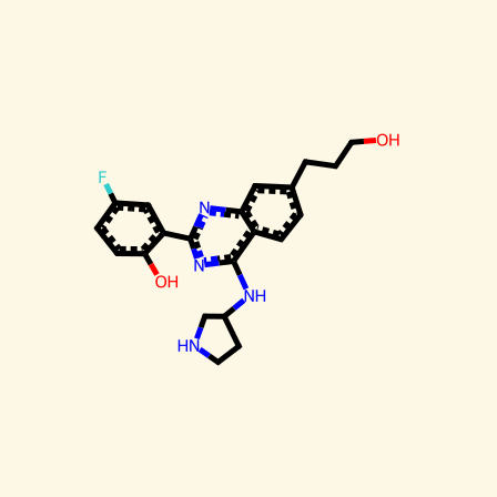 OCCCc1ccc2c(NC3CCNC3)nc(-c3cc(F)ccc3O)nc2c1